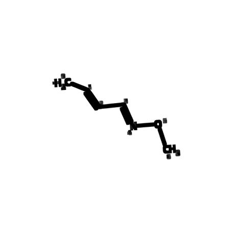 [CH2]C=CC=NOC